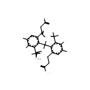 [CH2]COC(OC[CH2])(c1c(CCC(=O)O)cc(C)c(O)c1C(C)(C)C)c1c(CCC(=O)O)cc(C)c(O)c1C(C)(C)C